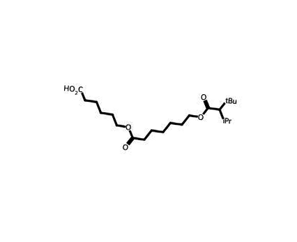 CC(C)C(C(=O)OCCCCCCC(=O)OCCCCCC(=O)O)C(C)(C)C